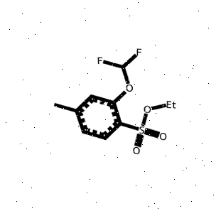 CCOS(=O)(=O)c1ccc(C)cc1OC(F)F